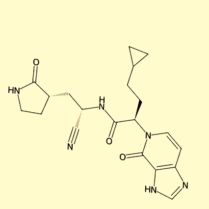 N#C[C@H](C[C@@H]1CCNC1=O)NC(=O)[C@@H](CCC1CC1)n1ccc2nc[nH]c2c1=O